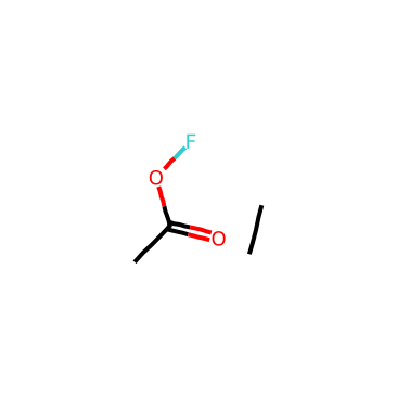 CC.CC(=O)OF